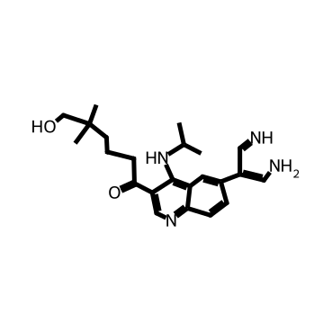 CC(C)Nc1c(C(=O)CCCC(C)(C)CO)cnc2ccc(/C(C=N)=C/N)cc12